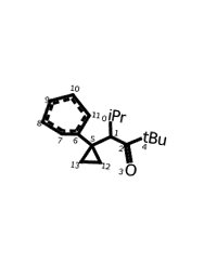 CC(C)C(C(=O)C(C)(C)C)C1(c2ccccc2)CC1